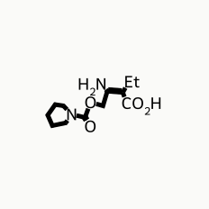 CCC(C(=O)O)=C(N)COC(=O)N1CCCCC1